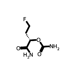 NC(=O)O[C@@H](CCF)C(N)=O